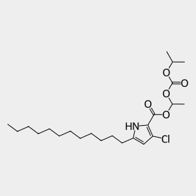 CCCCCCCCCCCCc1cc(Cl)c(C(=O)OC(C)OC(=O)OC(C)C)[nH]1